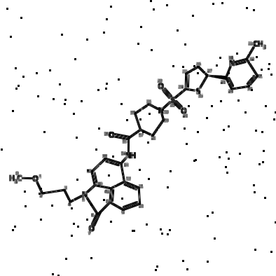 COCCCN1C(=O)c2cccc3c(NC(=O)C4CCN(S(=O)(=O)C5=CC[C@@H](c6cccc(C)n6)S5)CC4)ccc1c23